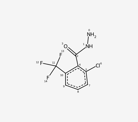 NNC(=O)c1c(Cl)cccc1C(F)(F)F